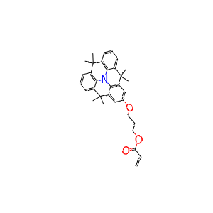 C=CC(=O)OCCCOc1cc2c3c(c1)C(C)(C)c1cccc4c1N3c1c(cccc1C2(C)C)C4(C)C